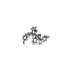 Cn1ccc2c(NCc3cccc(F)c3)nc(Nc3ccccc3C(=O)NC3CCCNC3)nc21